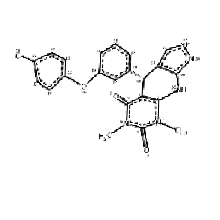 Cn1c2c(c(=O)n(C)c1=O)[C@H](c1cccc(Oc3ccc(Cl)cc3)c1)c1c[nH]nc1N2